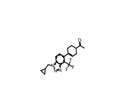 CC(=O)C1CC=C(c2ccc3c(nnn3CC3CC3)c2C(F)(F)F)CC1